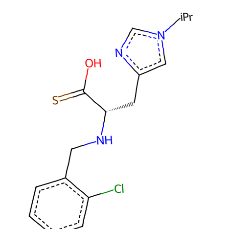 CC(C)n1cnc(C[C@H](NCc2ccccc2Cl)C(O)=S)c1